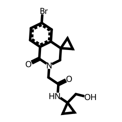 O=C(CN1CC2(CC2)c2cc(Br)ccc2C1=O)NC1(CO)CC1